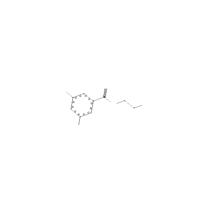 O=C(OCCO)c1cc(F)cc(F)c1